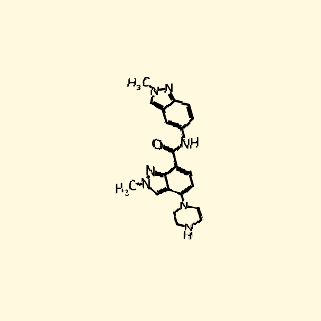 Cn1cc2cc(NC(=O)c3ccc(N4CCNCC4)c4cn(C)nc34)ccc2n1